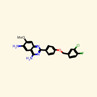 COc1cc2nc(-c3ccc(OCc4ccc(F)c(Cl)c4)cc3)nc(N)c2cc1N